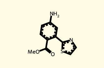 COC(=O)c1ccc(N)cc1-c1nccs1